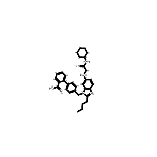 CCCCc1nc2ccc(NCC(=O)NC3CCCCC3)cc2n1Cc1ccc(-c2ccccc2C(=O)O)cc1